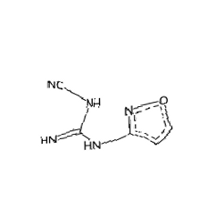 N#CNC(=N)Nc1ccon1